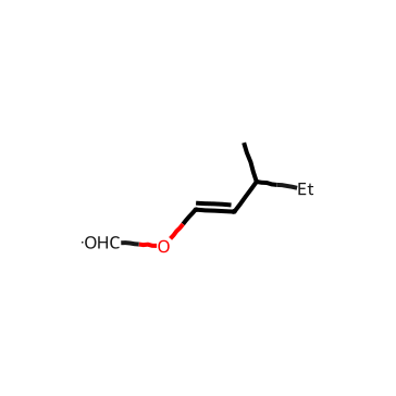 CCC(C)C=CO[C]=O